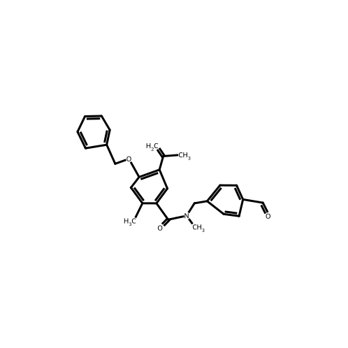 C=C(C)c1cc(C(=O)N(C)Cc2ccc(C=O)cc2)c(C)cc1OCc1ccccc1